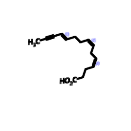 CC#C/C=C/CC/C=C\C/C=C\CCC(=O)O